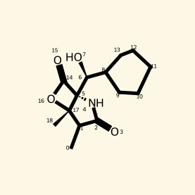 CC1C(=O)N[C@@]2([C@@H](O)C3CCCCC3)C(=O)O[C@@]12C